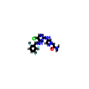 CN(C)C(=O)Cn1cc(Nc2ncc(Cl)c(NCc3c(F)ccc(F)c3F)n2)cn1